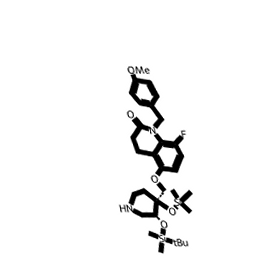 COc1ccc(CN2C(=O)CCc3c(OC[C@@]4(O[Si](C)(C)C)CCNC[C@H]4O[Si](C)(C)C(C)(C)C)ccc(F)c32)cc1